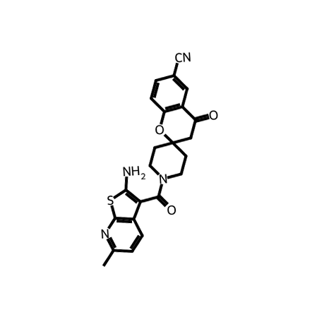 Cc1ccc2c(C(=O)N3CCC4(CC3)CC(=O)c3cc(C#N)ccc3O4)c(N)sc2n1